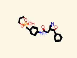 O=C(Cc1cnoc1-c1ccccc1)Nc1ccc(C[PH]2(O)OCCCO2)cc1